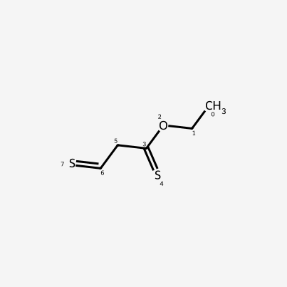 CCOC(=S)CC=S